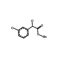 CC(C)(C)OC(=O)C(Cl)c1cccc(Cl)c1